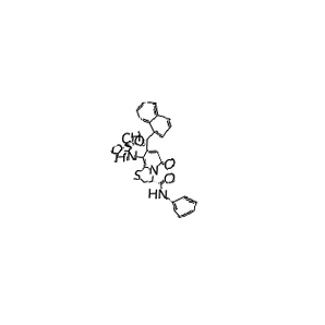 CS(=O)(=O)Nc1c(Cc2cccc3ccccc23)cc(=O)n2c1SC[C@H]2C(=O)Nc1ccccc1